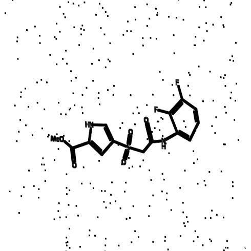 COC(=O)c1cc(S(=O)(=O)CC(=O)Nc2cccc(F)c2F)c[nH]1